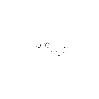 Nc1cc(Oc2ccc(NC(=O)c3c[nH]c(=O)n(-c4ccc(F)cc4)c3=O)cc2F)ccn1